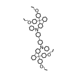 C=CCOc1ccc(C2(c3ccc(OCC=C)cc3)c3ccccc3-c3ccc(N(c4ccccc4)c4ccc(-c5ccc(N(c6ccccc6)c6ccc7c(c6)C(c6ccc(OCC=C)cc6)(c6ccc(OCC=C)cc6)c6ccccc6-7)cc5)cc4)cc32)cc1